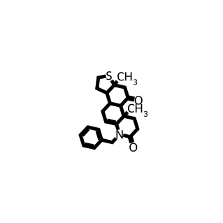 CC12CC(=O)C3C(CC=C4N(Cc5ccccc5)C(=O)CCC43C)C1CCS2